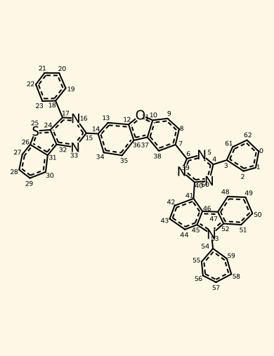 c1ccc(-c2nc(-c3ccc4oc5cc(-c6nc(-c7ccccc7)c7sc8ccccc8c7n6)ccc5c4c3)nc(-c3cccc4c3c3ccccc3n4-c3ccccc3)n2)cc1